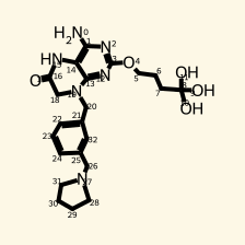 Nc1nc(OCCCC(O)(O)O)nc2c1NC(=O)CN2Cc1cccc(CN2CCCC2)c1